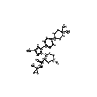 CC(C)(C)c1nc([C@@H]2CC[C@H](F)C[C@H]2C(=O)NC2(C#N)CC2)c(-c2ccc(N3CCS(O)(O)CC3)cc2)s1